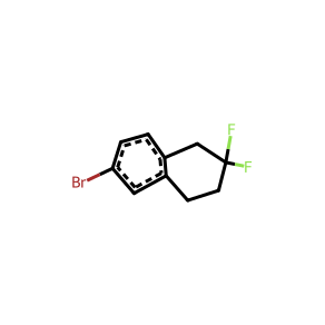 FC1(F)CCc2cc(Br)ccc2C1